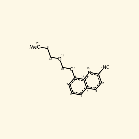 [C-]#[N+]c1ccc2cccc(OCOCCOC)c2n1